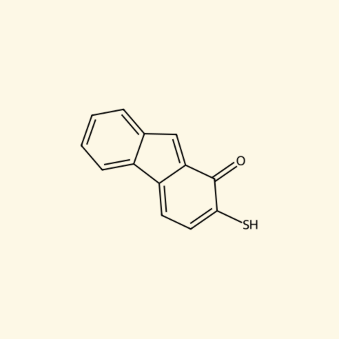 O=C1C(S)=CC=C2C1=Cc1ccccc12